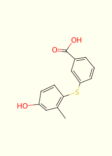 Cc1cc(O)ccc1Sc1cccc(C(=O)O)c1